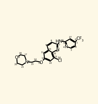 FC(F)(F)c1ccnc(Nc2ccc3cc(OCCN4CCOCC4)cc(Cl)c3n2)c1